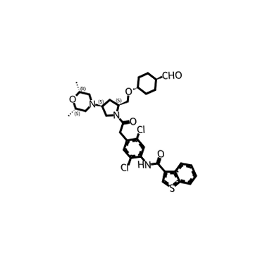 C[C@@H]1CN([C@H]2C[C@@H](CO[C@H]3CC[C@H](C=O)CC3)N(C(=O)Cc3cc(Cl)c(NC(=O)c4csc5ccccc45)cc3Cl)C2)C[C@H](C)O1